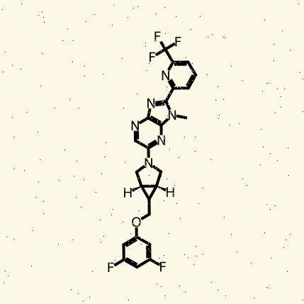 Cn1c(-c2cccc(C(F)(F)F)n2)nc2ncc(N3C[C@@H]4C(COc5cc(F)cc(F)c5)[C@@H]4C3)nc21